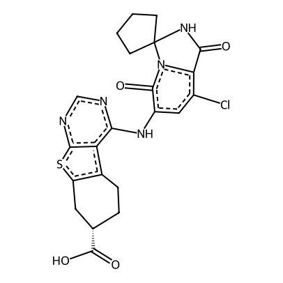 O=C1NC2(CCCC2)n2c1c(Cl)cc(Nc1ncnc3sc4c(c13)CC[C@H](C(=O)O)C4)c2=O